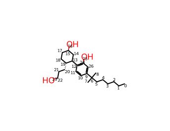 CCCCCCC(C)(C)c1ccc(C2C[C@H](O)CC[C@H]2CCCO)c(O)c1